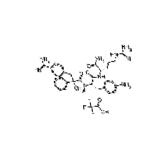 C[C@](Cc1ccc(C(=N)N)cc1)(C(=O)N[C@@H](Cc1ccc(N)cc1)C(=O)N[C@@H](CCCNC(=N)N)C(N)=O)c1ccccc1.O=C(O)C(F)(F)F